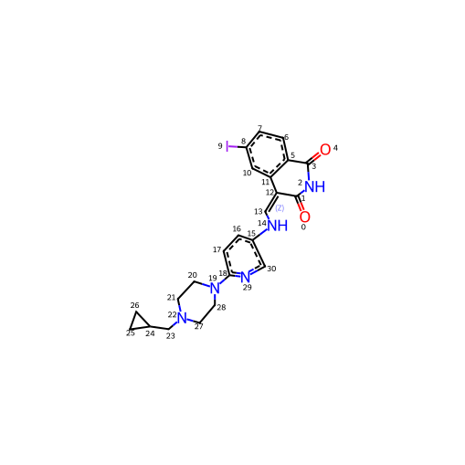 O=C1NC(=O)c2ccc(I)cc2/C1=C/Nc1ccc(N2CCN(CC3CC3)CC2)nc1